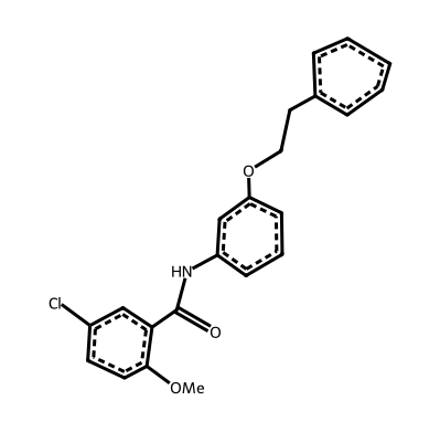 COc1ccc(Cl)cc1C(=O)Nc1cccc(OCCc2ccccc2)c1